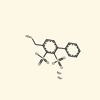 CCCCCCCCCCCc1ccc(-c2ccccc2)c(S(=O)(=O)[O-])c1S(=O)(=O)[O-].[Na+].[Na+]